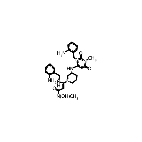 CN(O)C(=O)/C=C(\NCc1ccccc1N)N1CCC[C@@H](Nc2cc(=O)n(C)c(=O)n2Cc2ccccc2N)C1